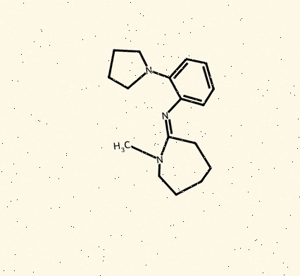 CN1CCCCCC1=Nc1ccccc1N1CCCC1